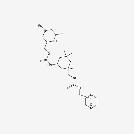 CCCN1CC(C)NC(COC(=O)NC2CC(C)(C)CC(C)(CNC(=O)OCC3CN4CCN3CC4)C2)C1